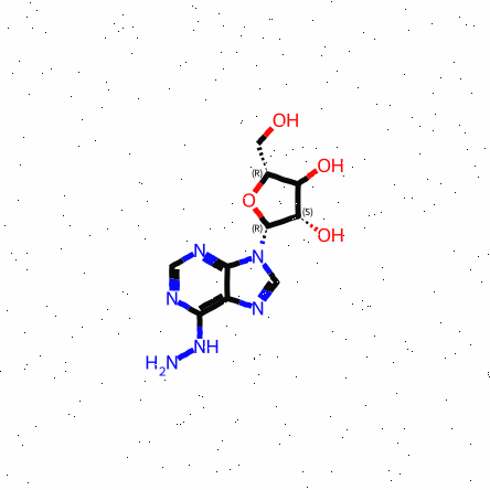 NNc1ncnc2c1ncn2[C@@H]1O[C@H](CO)C(O)[C@@H]1O